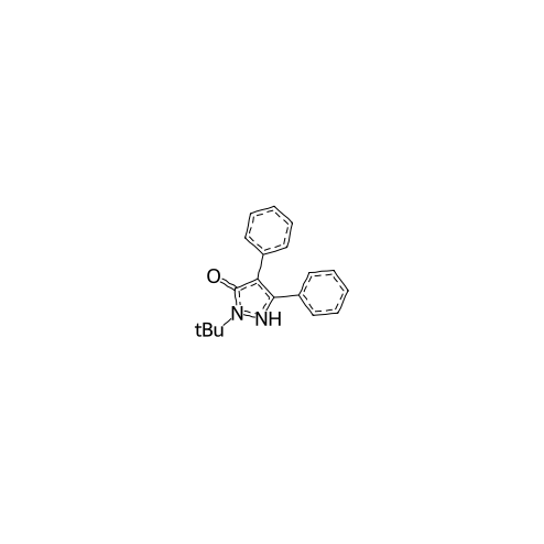 CC(C)(C)n1[nH]c(-c2ccccc2)c(-c2ccccc2)c1=O